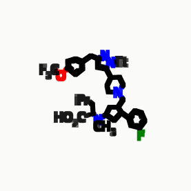 CCn1nc(Cc2ccc(OC(F)(F)F)cc2)cc1C1CCN(CC2CC(N(C)[C@H](CC(C)C)C(=O)O)CC2c2cccc(F)c2)CC1